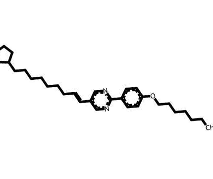 CCCCCCCOc1ccc(-c2ncc(C=CCCCCCCCC3CCCC3)cn2)cc1